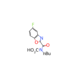 CCCCN(C(=O)O)C(=O)c1nc2cc(F)ccc2o1